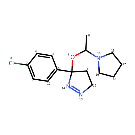 CC(OC1(c2ccc(Cl)cc2)CCN=N1)N1CCCC1